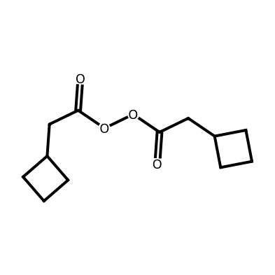 O=C(CC1CCC1)OOC(=O)CC1CCC1